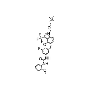 COc1ccccc1NC(=O)Nc1cc(F)c(Oc2ccnc3c2c(C(F)(F)F)cn3COCC[Si](C)(C)C)c(F)c1